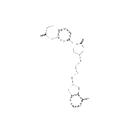 Cc1ccnc2c1CC(CNCCC1CN(c3ccc4c(n3)NC(=O)CO4)C(=O)O1)C2